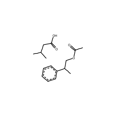 CC(=O)OCC(C)c1ccccc1.CC(C)CC(=O)O